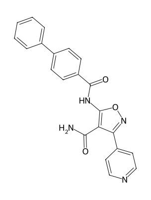 NC(=O)c1c(-c2ccncc2)noc1NC(=O)c1ccc(-c2ccccc2)cc1